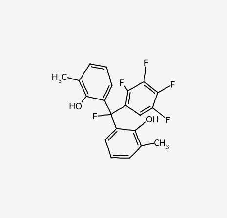 Cc1cccc(C(F)(c2cccc(C)c2O)c2cc(F)c(F)c(F)c2F)c1O